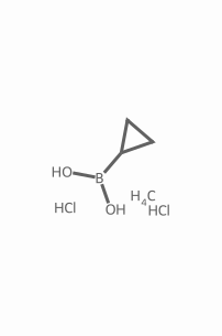 C.Cl.Cl.OB(O)C1CC1